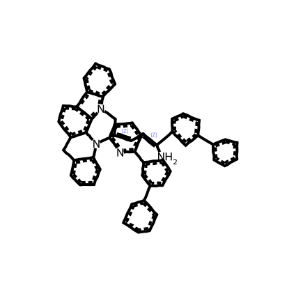 N/C(=C\C=C/Cn1c2ccccc2c2ccc3c(c21)N(c1cccc(-c2cccc(-c4ccccc4)c2)n1)c1ccccc1C3)c1cccc(-c2ccccc2)c1